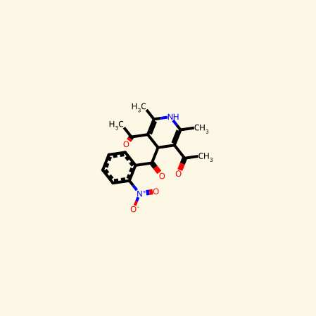 CC(=O)C1=C(C)NC(C)=C(C(C)=O)C1C(=O)c1ccccc1[N+](=O)[O-]